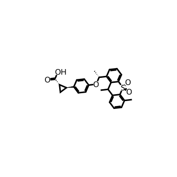 Cc1cccc2c1S(=O)(=O)c1cccc([C@@H](C)Oc3ccc([C@H]4C[C@@H]4C(=O)O)cc3)c1C2C